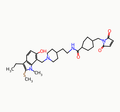 CCc1c(SC)n(C)c2c(CN3CCC(CCNC(=O)C4CCC(CN5C(=O)C=CC5=O)CC4)CC3)c(O)ccc12